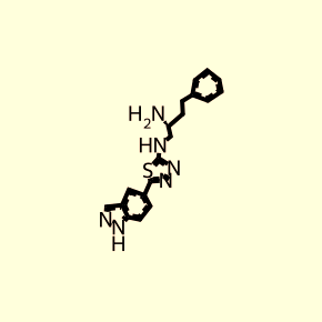 N[C@@H](CCc1ccccc1)CNc1nnc(-c2ccc3[nH]ncc3c2)s1